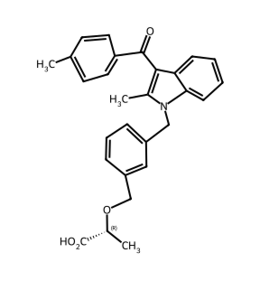 Cc1ccc(C(=O)c2c(C)n(Cc3cccc(CO[C@H](C)C(=O)O)c3)c3ccccc23)cc1